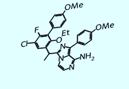 CCOc1c(C(C)c2nc(-c3ccc(OC)cc3)c3c(N)nccn23)cc(Cl)c(F)c1-c1ccc(OC)cc1